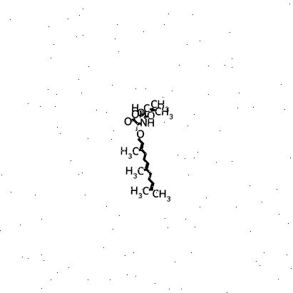 CC(C)=CCC/C(C)=C/CC/C(C)=C/COC[C@@H](NC(=O)OC(C)(C)C)C(=O)O